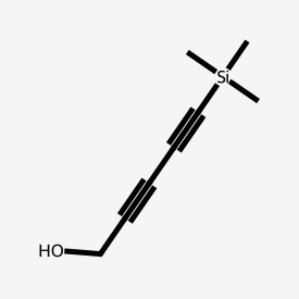 C[Si](C)(C)C#CC#CCO